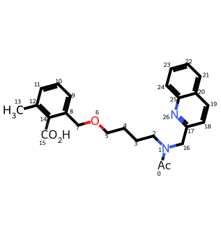 CC(=O)N(CCCCOCc1cccc(C)c1C(=O)O)Cc1ccc2ccccc2n1